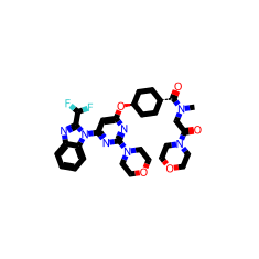 CN(CC(=O)N1CCOCC1)C(=O)[C@H]1CC[C@H](Oc2cc(-n3c(C(F)F)nc4ccccc43)nc(N3CCOCC3)n2)CC1